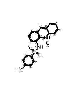 Cc1ccc(S(=O)(=O)Nc2cccc3c2[NH+]([O-])C2C=CC=CC2=C3)cc1